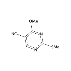 COc1nc(SC)ncc1C#N